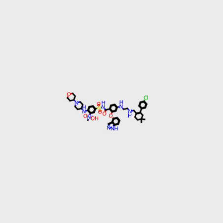 CC1(C)CCC(CNCCNc2ccc(C(=O)NS(=O)(=O)c3ccc(NC4CCN(C5CCOCC5)CC4)c([N+](C)([O-])O)c3)c(Oc3cccc4[nH]ncc34)c2)=C(c2ccc(Cl)cc2)C1